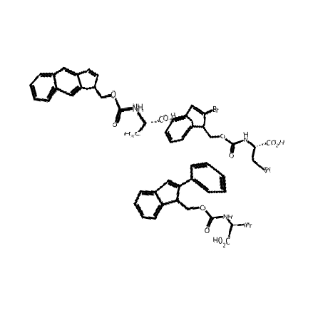 CC(C)C[C@H](NC(=O)OCC1C(Br)=Cc2ccccc21)C(=O)O.CC(C)[C@H](NC(=O)OCC1C(c2ccccc2)=Cc2ccccc21)C(=O)O.C[C@H](NC(=O)OCC1C=Cc2cc3ccccc3cc21)C(=O)O